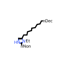 CCCCCCCCCCCCCCCCCCCc1c[nH]c(CCCCCCCCC)[n+]1CC